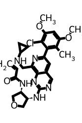 C=CC(=O)N[C@H]1COC[C@H]1Nc1ncc2cc(-c3c(C)c(OC)cc(OC)c3Cl)nc(CNC3CC3)c2n1